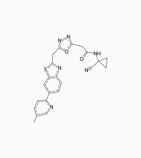 Cc1ccc(-c2ccc3nc(Cc4nnc(CC(=O)NC5(C#N)CC5)o4)sc3c2)nc1